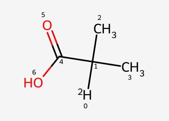 [2H]C(C)(C)C(=O)O